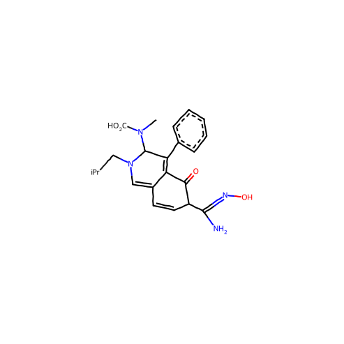 CC(C)CN1C=C2C=CC(C(N)=NO)C(=O)C2=C(c2ccccc2)C1N(C)C(=O)O